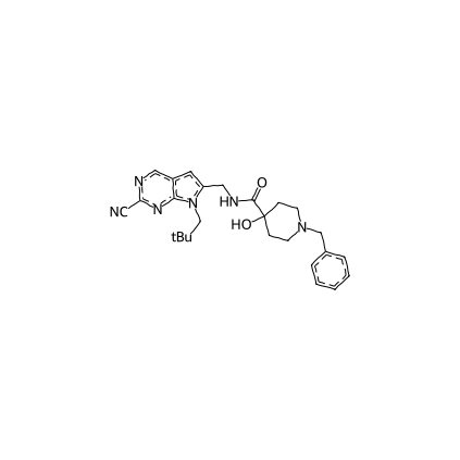 CC(C)(C)Cn1c(CNC(=O)C2(O)CCN(Cc3ccccc3)CC2)cc2cnc(C#N)nc21